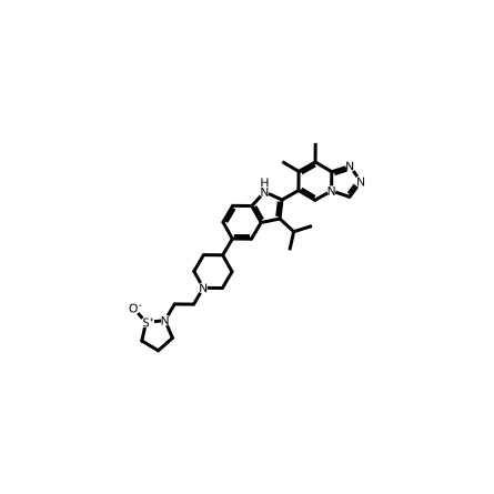 Cc1c(-c2[nH]c3ccc(C4CCN(CCN5CCC[S+]5[O-])CC4)cc3c2C(C)C)cn2cnnc2c1C